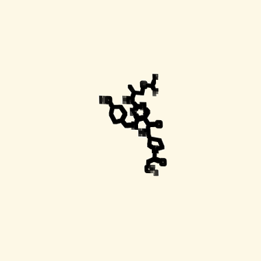 C[C@@H](COC(F)F)Nc1ncc(C(=O)N[C@H]2CCN(C(=O)CC(F)(F)F)C2)c(/N=C\C2CCC(O)CC2)n1